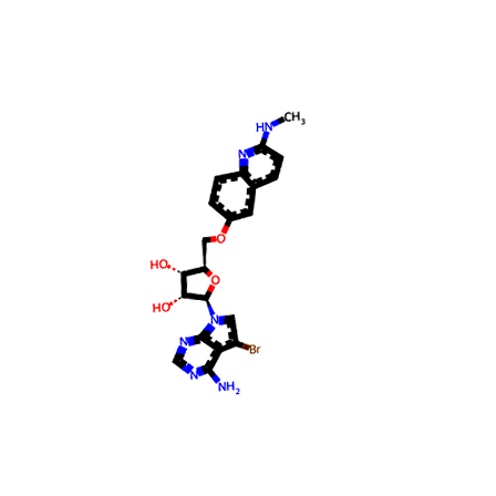 CNc1ccc2cc(OC[C@H]3O[C@@H](n4cc(Br)c5c(N)ncnc54)[C@H](O)[C@@H]3O)ccc2n1